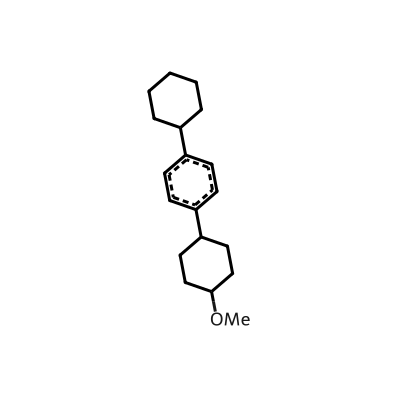 COC1CCC(c2ccc(C3CCCCC3)cc2)CC1